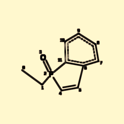 CCP1(=O)C=Cc2ccccc21